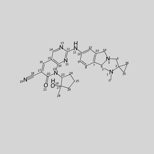 CN(C)C1(CN2Cc3ccc(Nc4ncc5cc(C#N)c(=O)n(C6CCCC6(C)O)c5n4)cc3C2)CC1